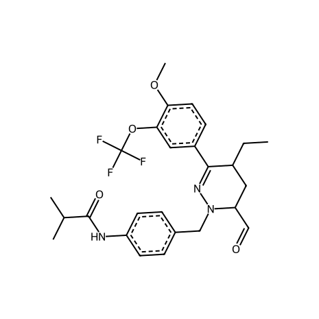 CCC1CC(C=O)N(Cc2ccc(NC(=O)C(C)C)cc2)N=C1c1ccc(OC)c(OC(F)(F)F)c1